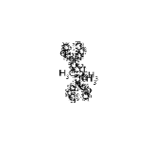 Cc1c2c3c(cccc3c3cc(N(c4ccc5ccc6ccccc6c5c4)c4ccc5oc6ccccc6c5c4)ccc13)C(C)(C)c1cc(N(c3ccc4ccc5ccccc5c4c3)c3ccc4oc5ccccc5c4c3)ccc1-2